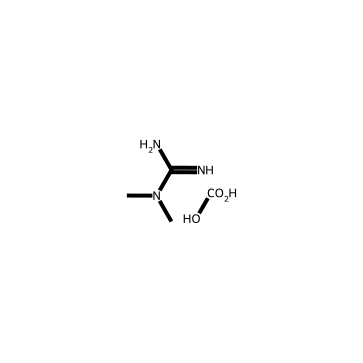 CN(C)C(=N)N.O=C(O)O